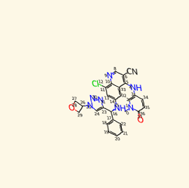 Cn1cc(Nc2c(C#N)cnc3c(Cl)cc(N[C@@H](c4ccccc4)c4cn(C5COC5)nn4)cc23)ccc1=O